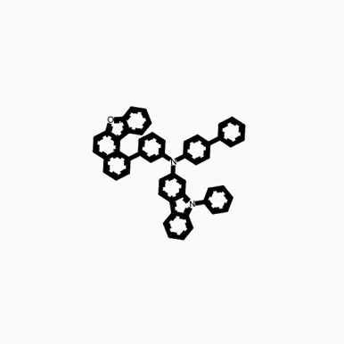 c1ccc(-c2ccc(N(c3cccc(-c4cccc5ccc6oc7ccccc7c6c45)c3)c3ccc4c5ccccc5n(-c5ccccc5)c4c3)cc2)cc1